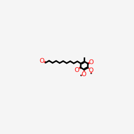 COC1=C(OC)C(=O)C(CCCCCCCCCC=O)=C(C)C1=O